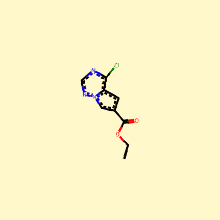 CCOC(=O)c1cc2c(Cl)ncnn2c1